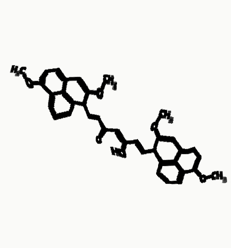 COC1=Cc2ccc(OC)c3cccc(c23)C1/C=C/C(=O)/C=C(O)/C=C/C1C(OC)=Cc2ccc(OC)c3cccc1c23